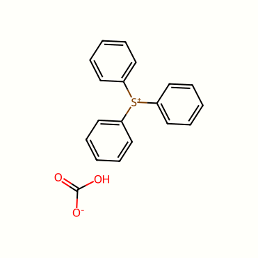 O=C([O-])O.c1ccc([S+](c2ccccc2)c2ccccc2)cc1